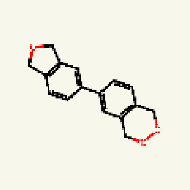 c1cc2c(cc1-c1ccc3c(c1)COOC3)COC2